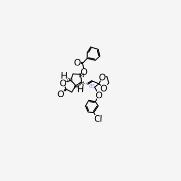 O=C1C[C@@H]2[C@@H](/C=C/C3(COc4cccc(Cl)c4)OCCO3)[C@H](OC(=O)c3ccccc3)C[C@@H]2O1